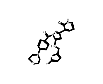 O=C(c1ccc(N2CCOCC2)cc1)n1nc(-c2ccc[nH]c2=O)cc1NCc1ccc(Cl)s1